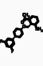 CC(=O)N1CCCC(N)[C@@H]1CO[C@H]1CC[C@@H](c2cc(F)cc(F)c2)CC1